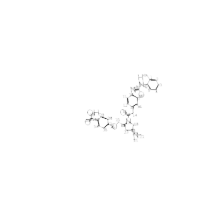 Cc1ccccc1Nc1nc2ccc(CC(=O)N3CC(N(C)C)C[C@H]3COc3ccc(C(=O)O)cc3)cc2o1